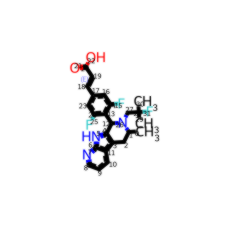 CC1Cc2c([nH]c3ncccc23)C(c2c(F)cc(/C=C/C(=O)O)cc2F)N1CC(C)(C)F